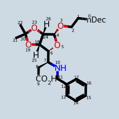 CCCCCCCCCCCCO[C@H]1O[C@H]([C@H](CC(=O)O)NCc2ccccc2)[C@@H]2OC(C)(C)O[C@H]12